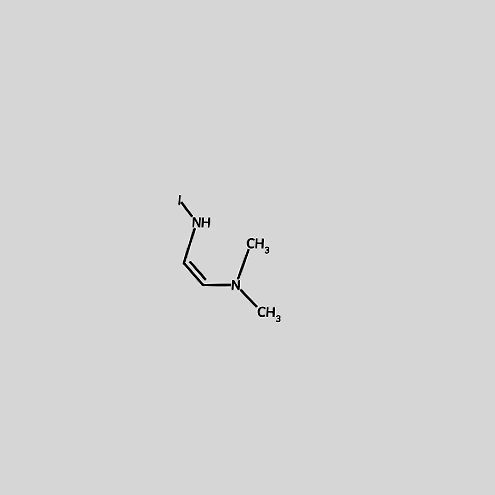 CN(C)/C=C\NI